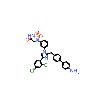 Nc1ccc(-c2ccc(Cc3nc(-c4ccc(Cl)cc4Cl)cn3-c3cccc(N4CC(=O)NS4(=O)=O)c3)cc2)cc1